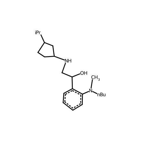 CCCCN(C)c1ccccc1C(O)CNC1CCC(C(C)C)C1